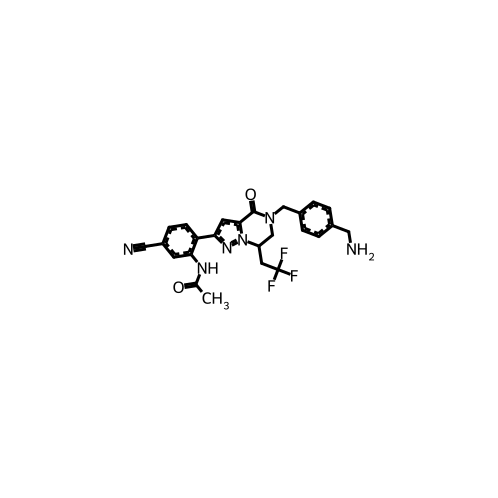 CC(=O)Nc1cc(C#N)ccc1-c1cc2n(n1)C(CC(F)(F)F)CN(Cc1ccc(CN)cc1)C2=O